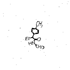 CCC(C(=O)NC=O)c1ccc(C)cc1